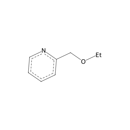 [CH2]COCc1ccccn1